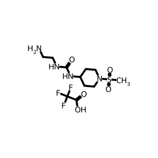 CS(=O)(=O)N1CCC(NC(=O)NCCN)CC1.O=C(O)C(F)(F)F